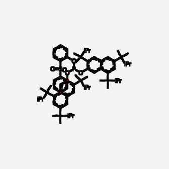 CC(C)C(C)(C)c1cc(C(C)(C)C(C)C)c2cc(OP(Oc3cc4c(C(C)(C)C(C)C)cc(C(C)(C)C(C)C)cc4cc3C(C)(C)C(C)C)Oc3ccccc3S(=O)(=O)c3ccccc3)c(C(C)(C)C(C)C)cc2c1